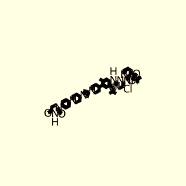 Cc1cc(Nc2ncc(Cl)c(Nc3ncccc3S(=O)(=O)C(C)C)n2)c(OC(C)C)cc1C1CCN(C2CN(C3CCN(c4ccc(N5CCC(=O)NC5=O)cc4)CC3)C2)CC1